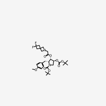 COc1ccc(C[C@@H]2[C@H](OC(=O)CN3CC4(C3)CC(F)(F)C4)[C@@H](OC(=O)OC(C)(C)C)CN2C(=O)OC(C)(C)C)cc1